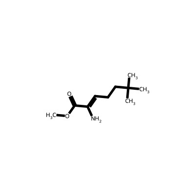 COC(=O)/C(N)=C/CCC(C)(C)C